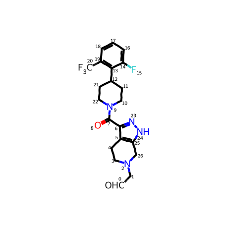 O=CCN1CCc2c(C(=O)N3CCC(c4c(F)cccc4C(F)(F)F)CC3)n[nH]c2C1